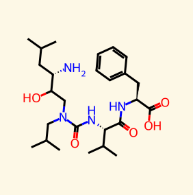 CC(C)C[C@H](N)C(O)CN(CC(C)C)C(=O)N[C@H](C(=O)N[C@@H](Cc1ccccc1)C(=O)O)C(C)C